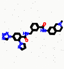 CN1CCc2ccc(NC(=O)c3cccc(CNC(=O)c4ccc(-n5cnnn5)cc4-n4cccn4)c3)cc2C1